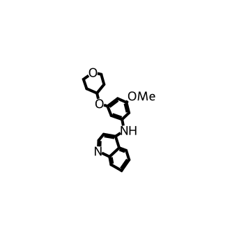 COc1cc(Nc2ccnc3ccccc23)cc(OC2CCOCC2)c1